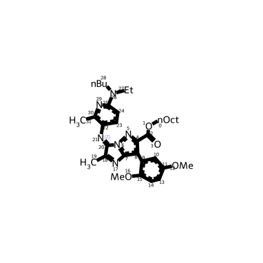 CCCCCCCCOC(=O)c1nn2c(c1-c1cc(OC)ccc1OC)N=C(C)/C2=N/c1ccc(N(CC)CCCC)nc1C